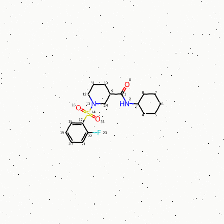 O=C(NC1CCCCC1)C1CCCN(S(=O)(=O)c2ccccc2F)C1